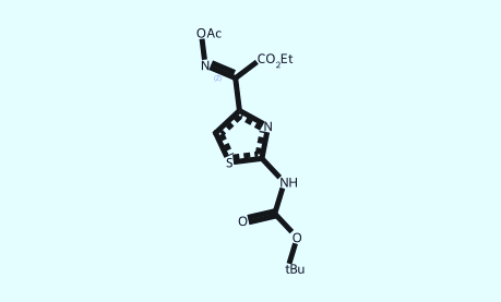 CCOC(=O)/C(=N\OC(C)=O)c1csc(NC(=O)OC(C)(C)C)n1